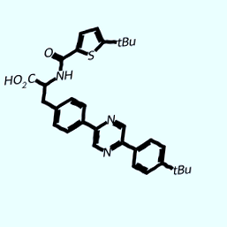 CC(C)(C)c1ccc(-c2cnc(-c3ccc(CC(NC(=O)c4ccc(C(C)(C)C)s4)C(=O)O)cc3)cn2)cc1